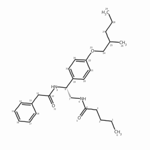 CCCCC(=O)NC[C@H](NC(=O)Cc1ccccc1)c1ccc(OCC(C)CCC)cc1